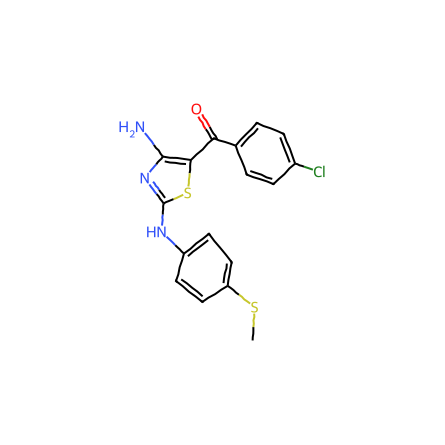 CSc1ccc(Nc2nc(N)c(C(=O)c3ccc(Cl)cc3)s2)cc1